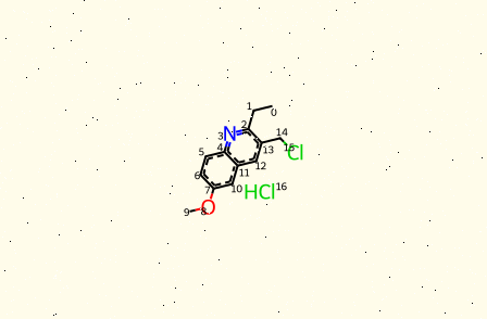 CCc1nc2ccc(OC)cc2cc1CCl.Cl